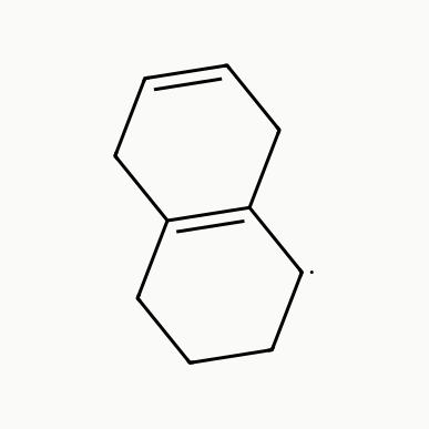 [CH]1CCCC2=C1CC=CC2